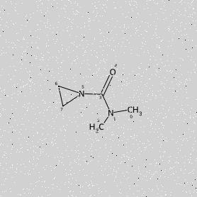 CN(C)C(=O)N1CC1